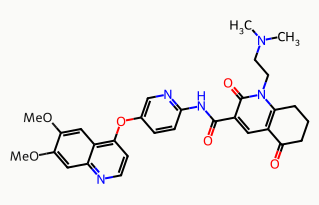 COc1cc2nccc(Oc3ccc(NC(=O)c4cc5c(n(CCN(C)C)c4=O)CCCC5=O)nc3)c2cc1OC